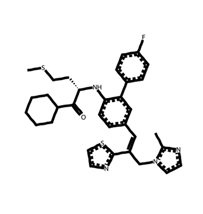 CSCC[C@H](Nc1ccc(C=C(Cn2ccnc2C)c2nccs2)cc1-c1ccc(F)cc1)C(=O)C1CCCCC1